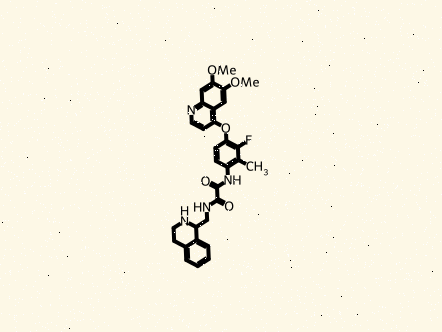 COc1cc2nccc(Oc3ccc(NC(=O)C(=O)NCC4NCCc5ccccc54)c(C)c3F)c2cc1OC